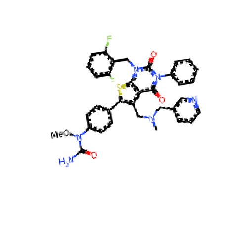 CON(C(N)=O)c1ccc(-c2sc3c(c2CN(C)Cc2cccnc2)c(=O)n(-c2ccccc2)c(=O)n3Cc2c(F)cccc2F)cc1